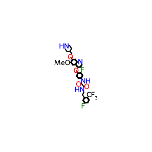 COc1cc2c(Oc3ccc(NC(=O)C(=O)NCCc4cc(F)ccc4C(F)(F)F)cc3F)ccnc2cc1OCC1CCNCC1